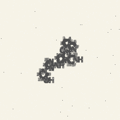 Cc1cccc2ccnc(N(C(=O)c3ccc(Nc4nccc(N5CCC[C@H](O)C5)n4)cc3F)[C@@H]3CCCNC3)c12